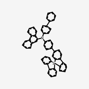 c1ccc(-c2ccc(N(c3ccc(-c4ccc5c(c4)[Si]4(c6ccccc6-c6ccccc64)c4ccccc4-5)cc3)c3cc4ccccc4c4ccccc34)cc2)cc1